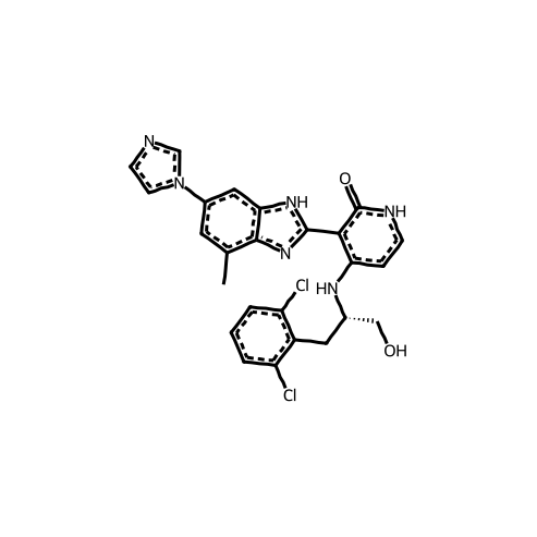 Cc1cc(-n2ccnc2)cc2[nH]c(-c3c(N[C@H](CO)Cc4c(Cl)cccc4Cl)cc[nH]c3=O)nc12